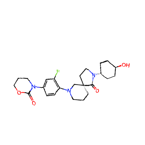 O=C1OCCCN1c1ccc(N2CCC[C@@]3(CCN([C@H]4CC[C@H](O)CC4)C3=O)C2)c(F)c1